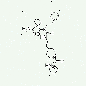 NC(=O)C1(C(=O)N(CCc2ccccc2)C(=O)NCCC2CCN(C(=O)[C@@H]3CCCN3)CC2)CCCC1